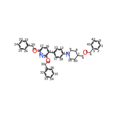 c1ccc(COCC2CCN(c3ccc(-c4ccc(OCc5ccccc5)nc4OCc4ccccc4)cc3)CC2)cc1